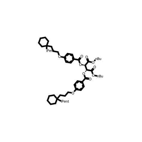 CCCCOC(=O)[C@H](OC(=O)c1ccc(OCCCC2(C(C)CCC)CCCCC2)cc1)[C@@H](OC(=O)c1ccc(OCCCC2(C(C)CCC)CCCCC2)cc1)C(=O)OCCCC